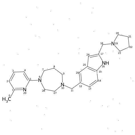 Cc1cccc(N2CCCN(Cc3ccc4[nH]c(CN5CCCC5)cc4c3)CC2)n1